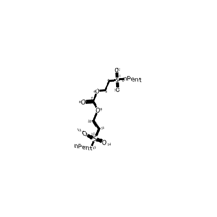 CCCCCS(=O)(=O)CCOC(=O)OCCS(=O)(=O)CCCCC